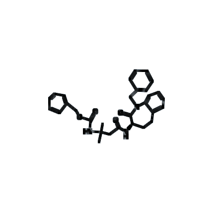 CC(C)(CC(=O)N[C@@H]1CCc2ccccc2N(Cc2ccccc2)C1=O)NC(=O)OCc1ccccc1